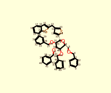 c1ccc(COC[C@H]2O[C@@H](c3cc(Cc4cc5ccccc5s4)cs3)[C@H](OCc3ccccc3)[C@@H](OCc3ccccc3)[C@@H]2OCc2ccccc2)cc1